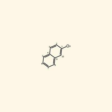 [O]c1ccc2c[c]ccc2c1